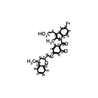 Cc1c(CC(=O)O)c2cc(F)ccc2n1C(=O)c1ccc(OC[C@@H]2CN(C)c3ccccc3O2)cc1Cl